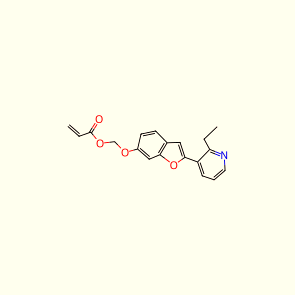 C=CC(=O)OCOc1ccc2cc(-c3cccnc3CC)oc2c1